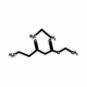 CCCC(=O)CC(=O)OCC.CCP